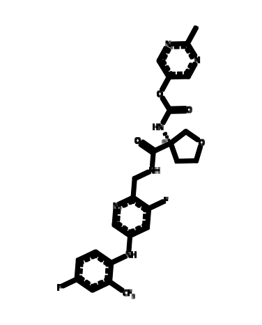 Cc1ncc(OC(=O)N[C@@]2(C(=O)NCc3ncc(Nc4ccc(F)cc4C(F)(F)F)cc3F)CCOC2)cn1